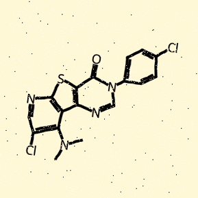 CN(C)c1c(Cl)cnc2sc3c(=O)n(-c4ccc(Cl)cc4)cnc3c12